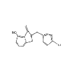 O=C1c2c(O)cccc2CN1Cc1ccc(Cl)nc1